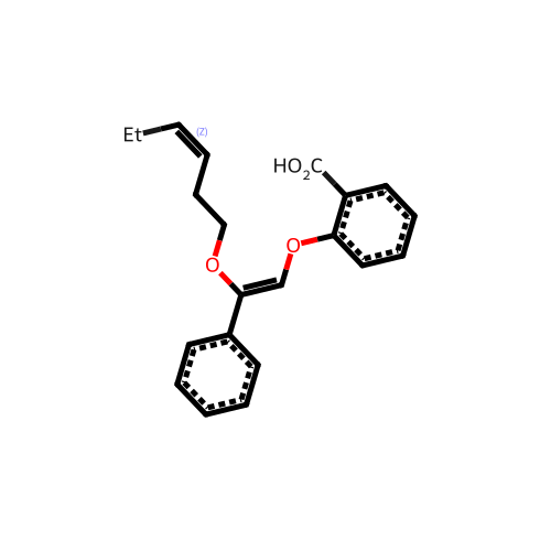 CC/C=C\CCOC(=COc1ccccc1C(=O)O)c1ccccc1